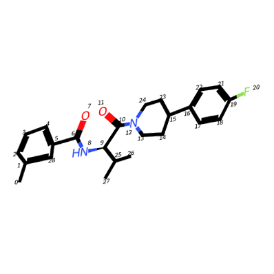 Cc1cccc(C(=O)N[C@@H](C(=O)N2CCC(c3ccc(F)cc3)CC2)C(C)C)c1